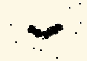 O=C(OCCOS(=O)(=O)c1ccc([N+](=O)[O-])cc1)c1ccc(-c2nnc(-c3ccccn3)nn2)nc1